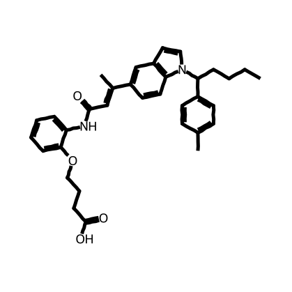 CCCCC(c1ccc(C)cc1)n1ccc2cc(/C(C)=C/C(=O)Nc3ccccc3OCCCC(=O)O)ccc21